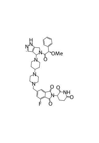 CO[C@@H](C(=O)N1Cc2[nH]n[c]c2C1N1CCC(N2CCN(Cc3cc(F)c4c(c3)C(=O)N(C3CCC(=O)NC3=O)C4=O)CC2)CC1)c1ccccc1